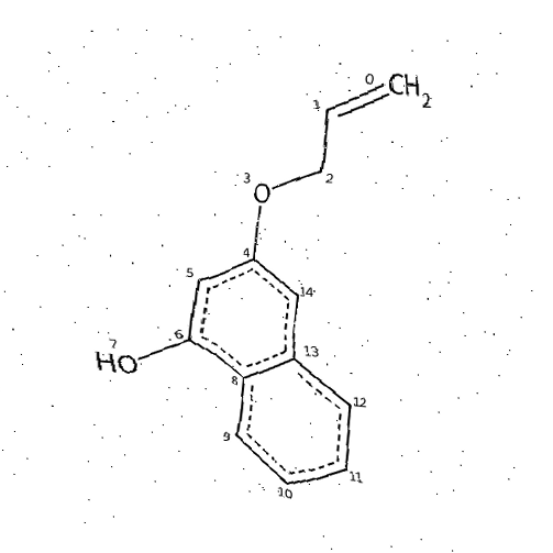 C=CCOc1cc(O)c2ccccc2c1